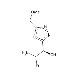 CCC(N)[C@H](O)c1nnc(COC)o1